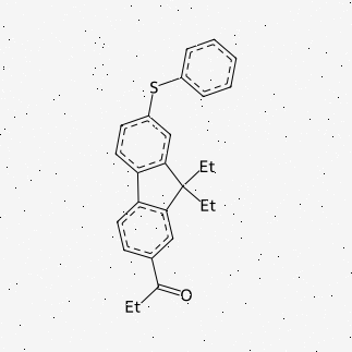 CCC(=O)c1ccc2c(c1)C(CC)(CC)c1cc(Sc3ccccc3)ccc1-2